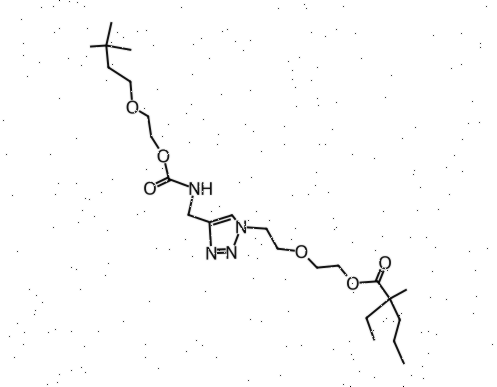 CCCC(C)(CC)C(=O)OCCOCCn1cc(CNC(=O)OCCOCCC(C)(C)C)nn1